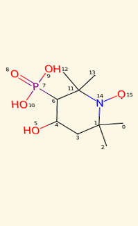 CC1(C)CC(O)C(P(=O)(O)O)C(C)(C)N1[O]